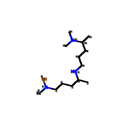 CCN(S)CCCC(C)NCCCC(C)N(C)C